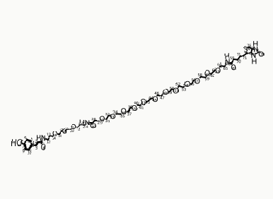 O=C(C=Cc1ccc(O)cc1)NCCCOCCOCCOCCCNC(=O)CCOCCOCCOCCOCCOCCOCCOCCOCCOCCOCCOCCOCCNC(=O)CCCCC1SCC2NC(=O)NC21